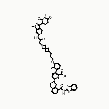 Cc1c(OCCCC2CC3(C2)CN(CC(=O)Nc2ccc4c(C5CCC(=O)NC5=O)nn(C)c4c2)C3)cccc1-c1ccc(N2CCc3cccc(C(=O)Nc4nc5ccccc5s4)c3C2)nc1C(=O)O